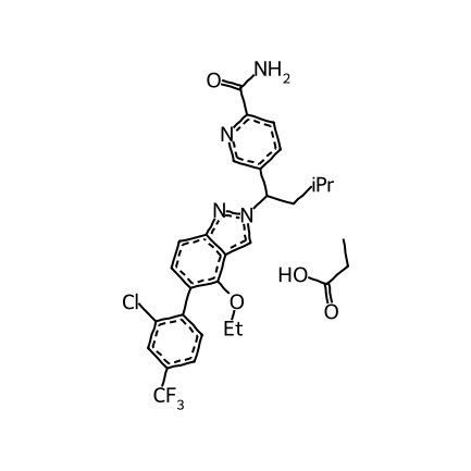 CCC(=O)O.CCOc1c(-c2ccc(C(F)(F)F)cc2Cl)ccc2nn(C(CC(C)C)c3ccc(C(N)=O)nc3)cc12